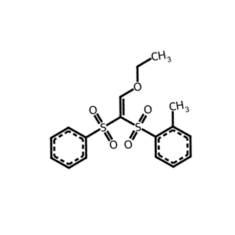 CCOC=C(S(=O)(=O)c1ccccc1)S(=O)(=O)c1ccccc1C